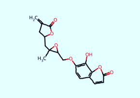 C=C1CC(CC2(C)OC2COc2ccc3ccc(=O)oc3c2O)OC1=O